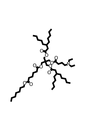 CCCCCCCOC(=O)CCCCC(=O)OCC(COC(=O)CCCN(CC)CC)(COC(=O)CC(CCCCC)CCCCC)COC(=O)CC(CCCCC)CCCCC